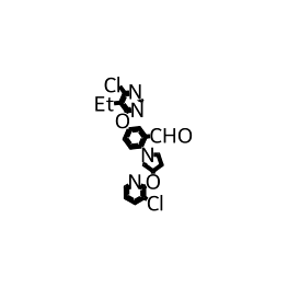 CCc1c(Cl)ncnc1Oc1ccc(N2CCC(Oc3ncccc3Cl)C2)c(C=O)c1